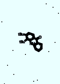 CC(C)(C)c1ccc(C(=O)c2ccccc2)c(N)c1C(C)(C)C